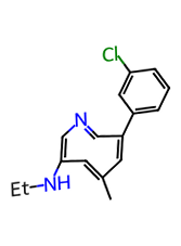 CCNC1=C/N=C/C(c2cccc(Cl)c2)=C\C(C)=C\1